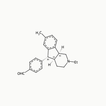 CCN1CC[C@H]2[C@H](c3ccc(C=O)cc3)c3cc(C)ccc3[C@H]2C1